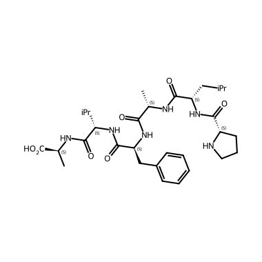 CC(C)C[C@H](NC(=O)[C@@H]1CCCN1)C(=O)N[C@@H](C)C(=O)N[C@@H](Cc1ccccc1)C(=O)N[C@H](C(=O)N[C@@H](C)C(=O)O)C(C)C